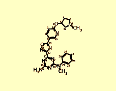 CN1CCC(Oc2ccc(-c3nc(-c4nc(N)nc(N(C)c5ccccc5)n4)no3)cn2)C1